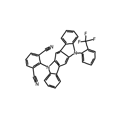 N#Cc1cccc(C#N)c1-n1c2ccccc2c2cc3c(cc21)c1ccccc1n3-c1ccccc1C(F)(F)F